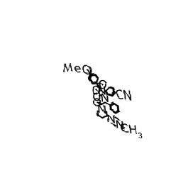 COc1ccc(S(=O)(=O)n2c(=O)n(C(C(=O)N3CCCC(N4CCN(C)CC4)C3)c3ccccc3)c3cc(C#N)ccc32)cc1